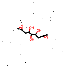 OC(CC1CO1)C(O)C(O)CC1CO1